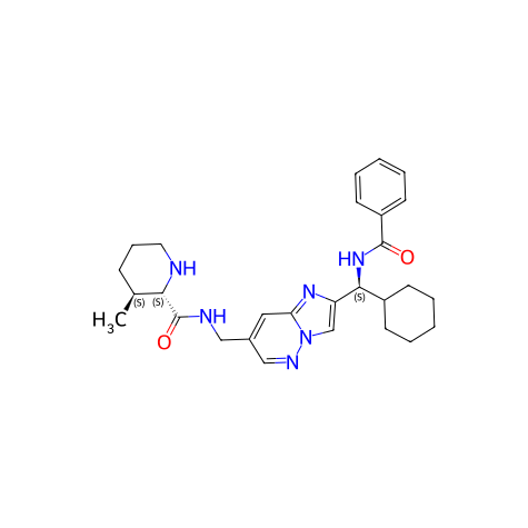 C[C@H]1CCCN[C@@H]1C(=O)NCc1cnn2cc([C@@H](NC(=O)c3ccccc3)C3CCCCC3)nc2c1